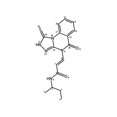 CCC(C)NC(=O)C=Cn1c(=O)c2ccccc2n2c(=S)[nH]nc12